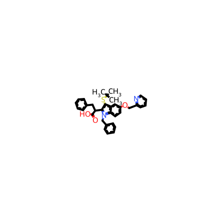 CC(C)(C)Sc1c(C(Cc2ccccc2)C(=O)O)n(Cc2ccccc2)c2ccc(OCc3ccccn3)cc12